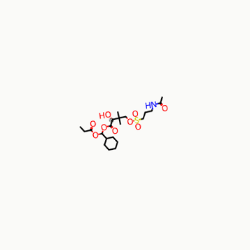 CCC(=O)OC(OC(=O)[C@H](O)C(C)(C)COS(=O)(=O)CCCNC(C)=O)C1CCCCC1